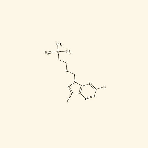 CS(C)(C)CCOCn1nc(I)c2ncc(Cl)nc21